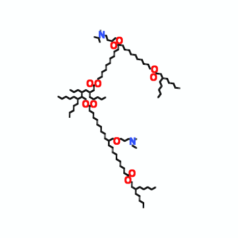 CCCCCC(CCCCC)CCOC(=O)CCCCCCCCCC(CCCCCCCCCC(=O)OCC(C(CCCCC)CCCCC)C(CCC)CC(CCCCC)CC(=O)OCCCCCCCCCCC1(CCCCCCCCCCOC(=O)CC(CCCCC)CCCCC)OCC(CCN(C)C(C)C)O1)COCCCN(C)CC